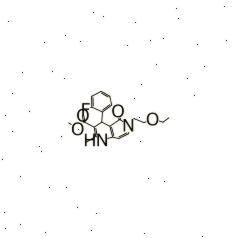 CCOCCn1ccc2c(c1=O)C(c1ccccc1F)C(C(=O)OC)=C(C)N2